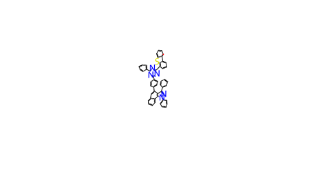 c1ccc(-c2nc(-c3ccc(-c4cc5ccccc5c5c4c(-c4ccccc4)nn5-c4ccccc4)cc3)nc(-c3cccc4c3sc3ccccc34)n2)cc1